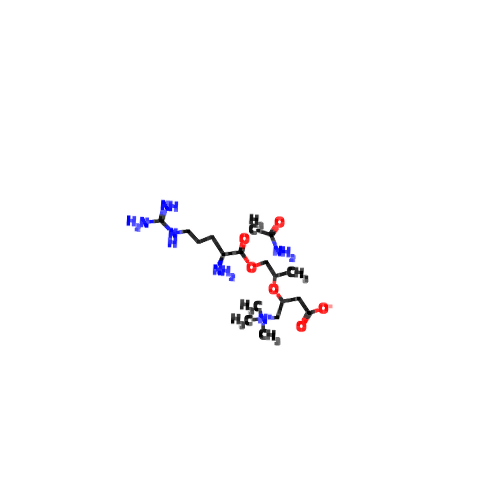 CC(COC(=O)[C@@H](N)CCCNC(=N)N)OC(CC(=O)[O-])C[N+](C)(C)C.CC(N)=O